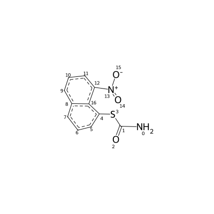 NC(=O)Sc1cccc2cccc([N+](=O)[O-])c12